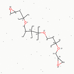 CC(COC(C)(C)CC1CO1)C(C)(C)C(C)(C)OCCC(C)(C)OCC1CO1